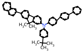 CC(C)(C)c1ccc(N(c2ccc(-c3ccc(-c4ccccc4)cc3)cc2)c2ccc3c(c2)C(C)(C)c2cc(-c4ccc5ccccc5c4)ccc2-3)cc1